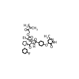 CCC(CC)(C(=O)OCC(=O)N(C)C)[C@H]1CC[C@@H](c2cccc(F)c2)N1C(=O)[C@@H](C)NC(=O)c1ccc(Oc2cc(C)n[nH]c2=O)cc1